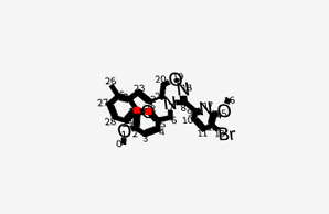 COc1ccc(CN2C(c3ccc(Br)c(OC)n3)=NOC[C@@H]2c2cc3c(C)cccc3o2)cc1